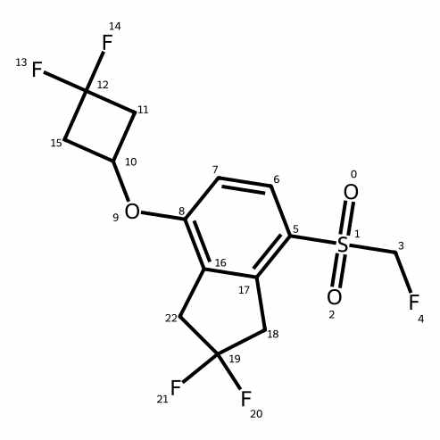 O=S(=O)(CF)c1ccc(OC2CC(F)(F)C2)c2c1CC(F)(F)C2